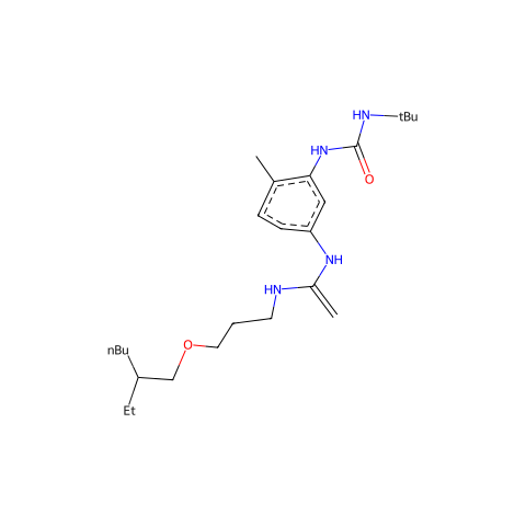 C=C(NCCCOCC(CC)CCCC)Nc1ccc(C)c(NC(=O)NC(C)(C)C)c1